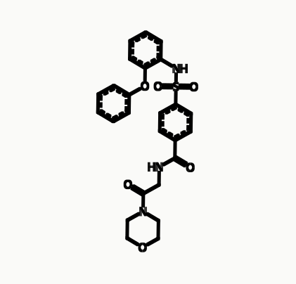 O=C(NCC(=O)N1CCOCC1)c1ccc(S(=O)(=O)Nc2ccccc2Oc2ccccc2)cc1